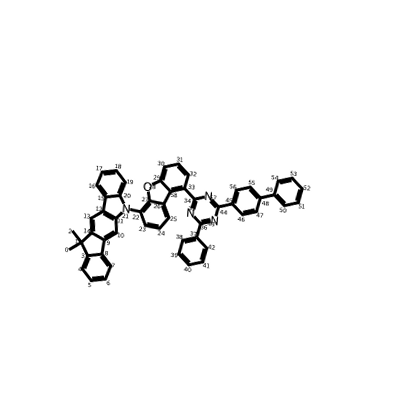 CC1(C)c2ccccc2-c2cc3c(cc21)c1ccccc1n3-c1cccc2c1oc1cccc(-c3nc(-c4ccccc4)nc(-c4ccc(-c5ccccc5)cc4)n3)c12